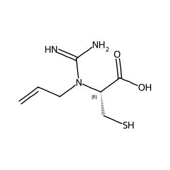 C=CCN(C(=N)N)[C@@H](CS)C(=O)O